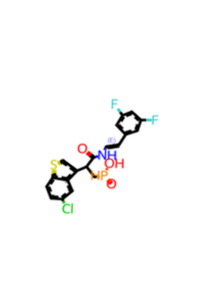 O=C(N/C=C/c1cc(F)cc(F)c1)C(C[PH](=O)O)c1csc2ccc(Cl)cc12